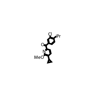 COc1nc(C(=O)c2ccc(C(C)C)c(Cl)c2)ccc1C1CC1